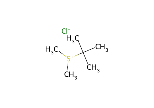 C[S+](C)C(C)(C)C.[Cl-]